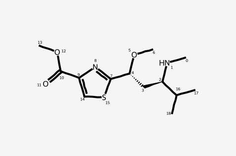 CN[C@H](C[C@@H](OC)c1nc(C(=O)OC)cs1)C(C)C